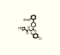 CNc1ccccc1C1CCN(C(=O)[C@@H](Cc2ccc(Cl)cc2)NC(=O)C2CNC2)CC1